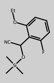 CCOc1cccc(F)c1C(C#N)O[Si](C)(C)C